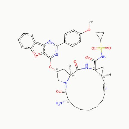 CC(C)Oc1ccc(-c2nc(O[C@@H]3C[C@H]4C(=O)N[C@]5(C(=O)NS(=O)(=O)C6CC6)C[C@H]5/C=C\CCCCC[C@H](N)C(=O)N4C3)c3oc4ccccc4c3n2)cc1